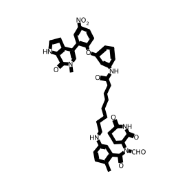 Cc1ccc(NCCCCCCCC(=O)Nc2cccc(Oc3ccc([N+](=O)[O-])cc3-c3cn(C)c(=O)c4[nH]ccc34)c2)cc1C(=O)N(C=O)C1CCC(=O)NC1=O